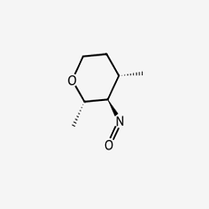 C[C@@H]1OCC[C@H](C)[C@H]1N=O